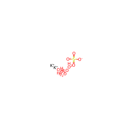 O.O.O.O.O.O=S(=O)([O-])[O-].[K+].[K+]